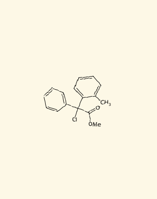 COC(=O)C(Cl)(c1ccccc1)c1ccccc1C